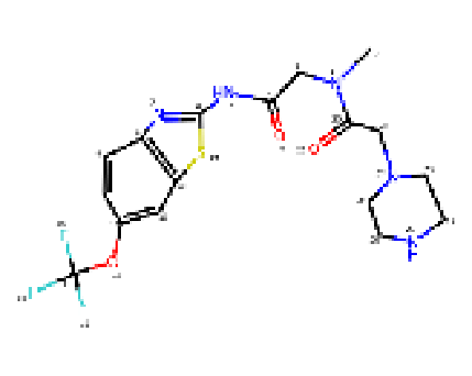 CN(CC(=O)Nc1nc2ccc(OC(F)(F)F)cc2s1)C(=O)CN1CCNCC1